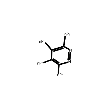 CCCc1nnc(CCC)c(CCC)c1CCC